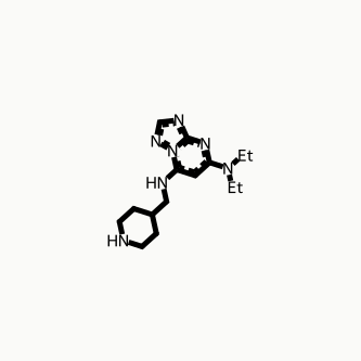 CCN(CC)c1cc(NCC2CCNCC2)n2ncnc2n1